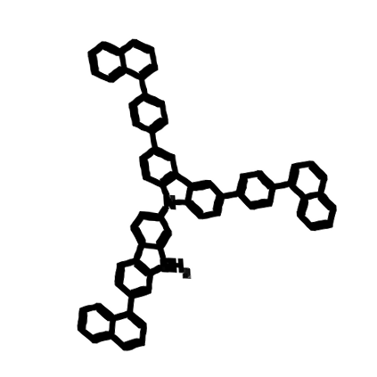 c1ccc2c(-c3ccc(-c4ccc5c(c4)c4cc(-c6ccc(-c7cccc8ccccc78)cc6)ccc4n5-c4ccc5c(c4)[SiH2]c4cc(-c6cccc7ccccc67)ccc4-5)cc3)cccc2c1